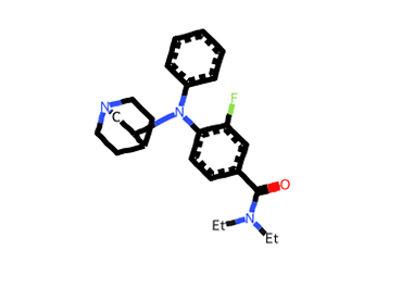 CCN(CC)C(=O)c1ccc(N(c2ccccc2)C2CN3CCC2CC3)c(F)c1